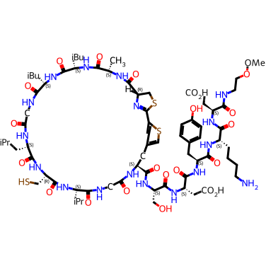 CCC(C)[C@@H]1NC(=O)[C@H](C)NC(=O)[C@@H]2CSC(=N2)c2cc(cs2)C[C@@H](C(=O)N[C@@H](CO)C(=O)N[C@@H](CC(=O)O)C(=O)N[C@@H](Cc2ccc(O)cc2)C(=O)N[C@@H](CCCCN)C(=O)N[C@@H](CC(=O)O)C(=O)NCCOOC)NC(=O)CNC(=O)[C@H](C(C)C)NC(=O)[C@H](CS)NC(=O)[C@H](CC(C)C)NC(=O)CNC(=O)[C@H](C(C)CC)NC1=O